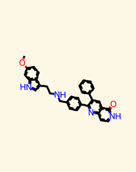 COc1ccc2c(CCNCc3ccc(-c4nc5cc[nH]c(=O)c5cc4-c4ccccc4)cc3)c[nH]c2c1